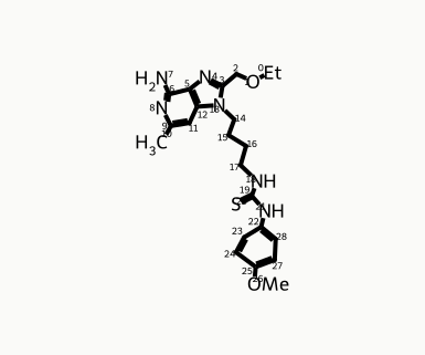 CCOCc1nc2c(N)nc(C)cc2n1CCCCNC(=S)Nc1ccc(OC)cc1